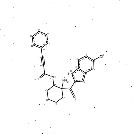 NC1(C(=O)c2cc3cc(Cl)ccc3[nH]2)CCCCC1NC(=O)C#Cc1ccccc1